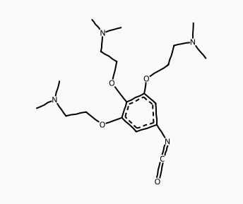 CN(C)CCOc1cc(N=C=O)cc(OCCN(C)C)c1OCCN(C)C